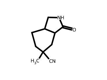 CC1(C#N)CCC2CNC(=O)C2C1